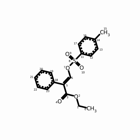 CCOC(=O)/C(=C/OS(=O)(=O)c1ccc(C)cc1)c1ccccc1